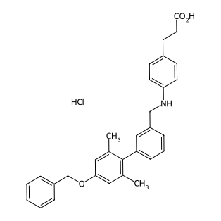 Cc1cc(OCc2ccccc2)cc(C)c1-c1cccc(CNc2ccc(CCC(=O)O)cc2)c1.Cl